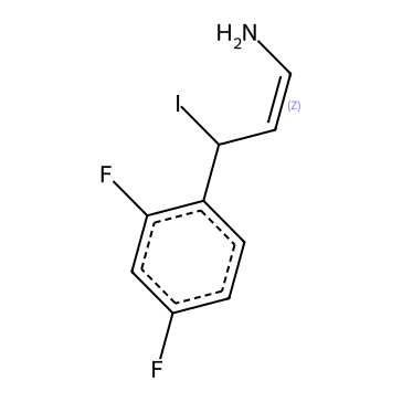 N/C=C\C(I)c1ccc(F)cc1F